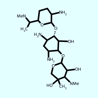 CNC(C)C1CCC(N)C(O[C@H]2C(N)CC(N)C(OC3OCC(C)(O)C(NC)C3O)C2O)O1